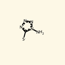 Nn1nnnc1[S]